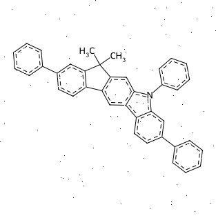 CC1(C)c2cc(-c3ccccc3)ccc2-c2cc3c4ccc(-c5ccccc5)cc4n(-c4ccccc4)c3cc21